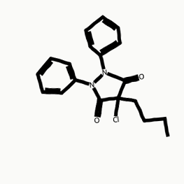 CCCCC1(Cl)C(=O)N(c2ccccc2)N(c2ccccc2)C1=O